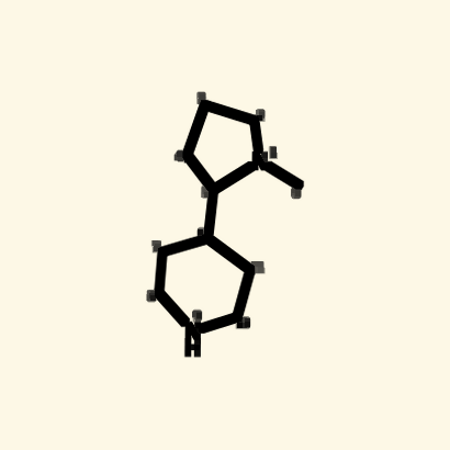 CN1CC[CH]C1C1CCNCC1